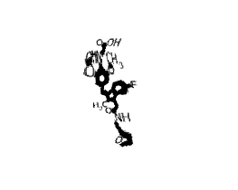 COc1cc(/C=C2/C(C)=C(CC(=O)NCc3ccco3)c3cc(F)ccc32)cc(OC)c1NCC(=O)O